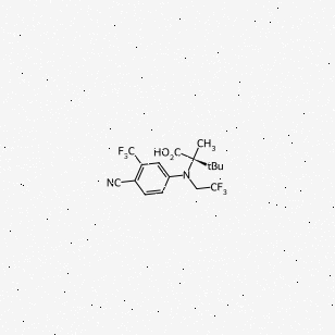 CC(C)(C)[C@](C)(C(=O)O)N(CC(F)(F)F)c1ccc(C#N)c(C(F)(F)F)c1